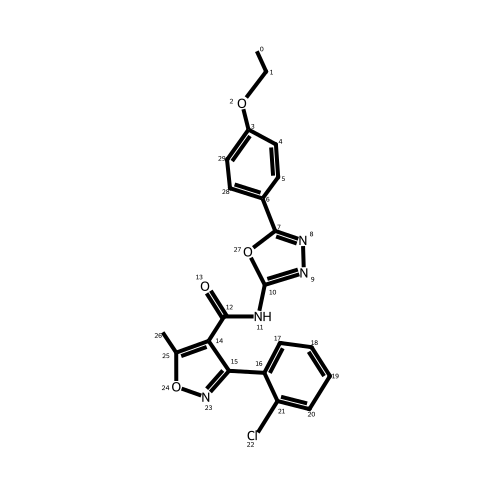 CCOc1ccc(-c2nnc(NC(=O)c3c(-c4ccccc4Cl)noc3C)o2)cc1